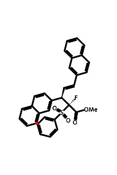 COC(=O)[C@](F)([C@H](C=Cc1ccc2ccccc2c1)c1ccc2ccccc2c1)S(=O)(=O)c1ccccc1